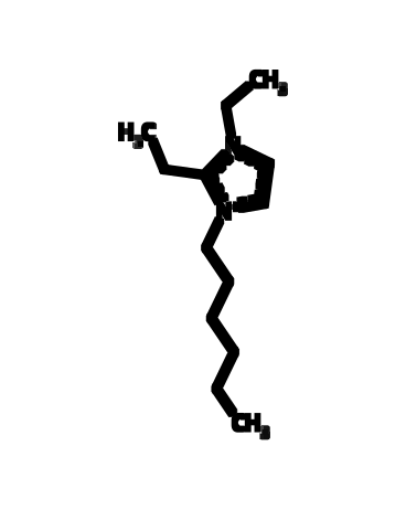 CCCCCC[n+]1ccn(CC)c1CC